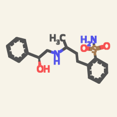 CC(CCc1ccccc1S(N)(=O)=O)NC[C@@H](O)c1ccccc1